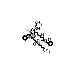 C=C(NCCN)C(CCCCNC(=O)OCc1ccccc1Cl)NC(=O)C(Cc1ccccc1)NC(=O)CCC(=O)NCCCCC